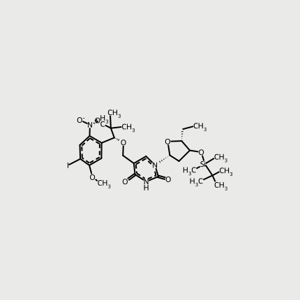 CC[C@H]1O[C@@H](n2cc(CO[C@H](c3cc(OC)c(I)cc3[N+](=O)[O-])C(C)(C)C)c(=O)[nH]c2=O)CC1O[Si](C)(C)C(C)(C)C